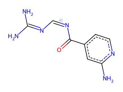 NC(N)=N/C=N\C(=O)c1ccnc(N)c1